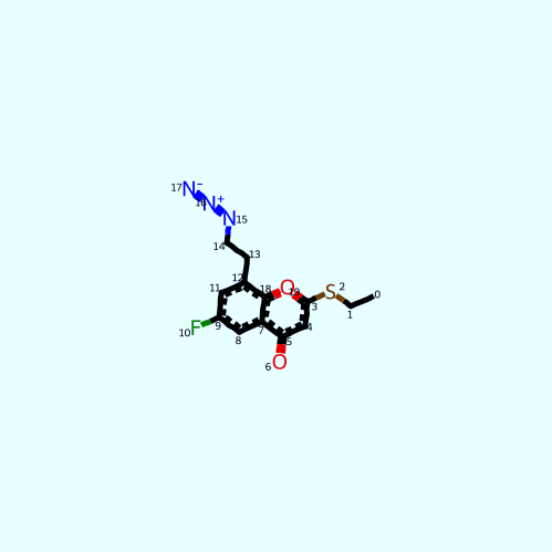 CCSc1cc(=O)c2cc(F)cc(CCN=[N+]=[N-])c2o1